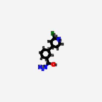 NC(=O)c1cccc(-c2ccnc(F)c2)c1